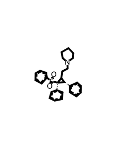 O=S(=O)(c1ccccc1)[C@@]1(c2ccccc2)C(CCN2CCCCC2)[C@@H]1c1ccccc1